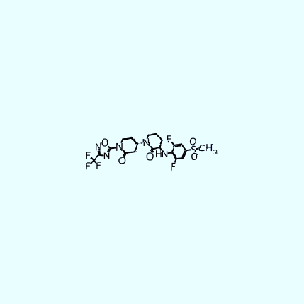 CS(=O)(=O)c1cc(F)c(NC2CCCN([C@H]3CCN(c4nc(C(F)(F)F)no4)C(=O)C3)C2=O)c(F)c1